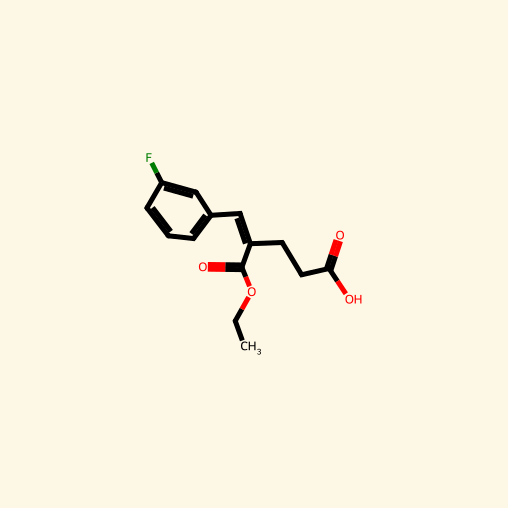 CCOC(=O)C(=Cc1cccc(F)c1)CCC(=O)O